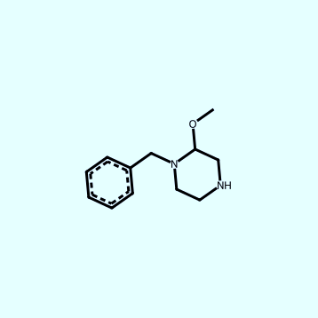 COC1CNCCN1Cc1ccccc1